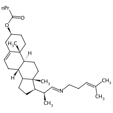 CCCC(=O)O[C@H]1CC[C@@]2(C)C(=CC[C@H]3C4CC[C@H]([C@H](C)/C=N/CCC=C(C)C)[C@@]4(C)CC[C@@H]32)C1